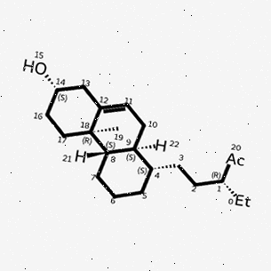 CC[C@H](CC[C@@H]1CCC[C@H]2[C@H]1CC=C1C[C@@H](O)CC[C@@]12C)C(C)=O